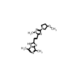 COC1CCN(c2nc(/C=C/C3N=C4C(C)=NC=C(C)N4N3)n(C)n2)C1